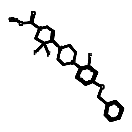 CC(C)(C)OC(=O)N1CC=C(N2CCN(c3ccc(OCc4ccccc4)cc3F)CC2)C(F)(F)C1